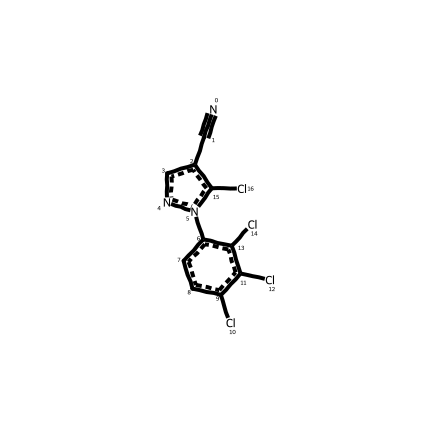 N#Cc1cnn(-c2ccc(Cl)c(Cl)c2Cl)c1Cl